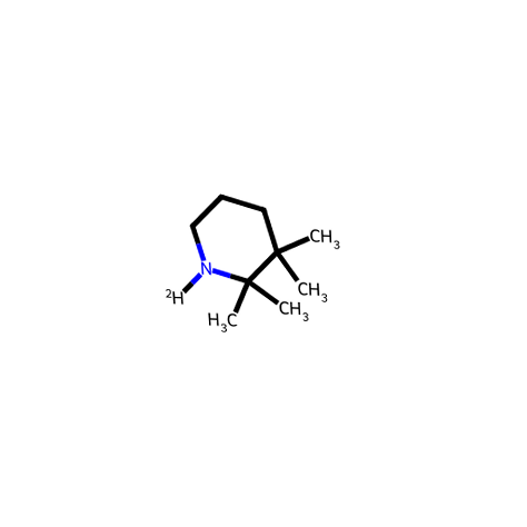 [2H]N1CCCC(C)(C)C1(C)C